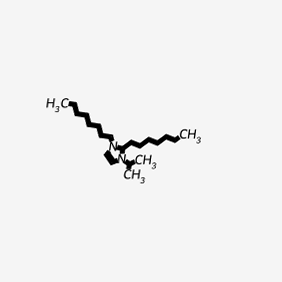 CCCCCCCCN1C=CN(C(C)C)C1CCCCCCC